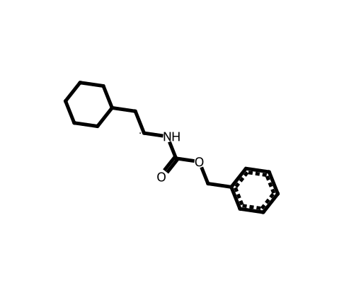 O=C(N[CH]CC1CCCCC1)OCc1ccccc1